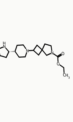 CCOC(=O)N1CCC2(CC(N3CCC([C@@H]4CCCN4)CC3)C2)C1